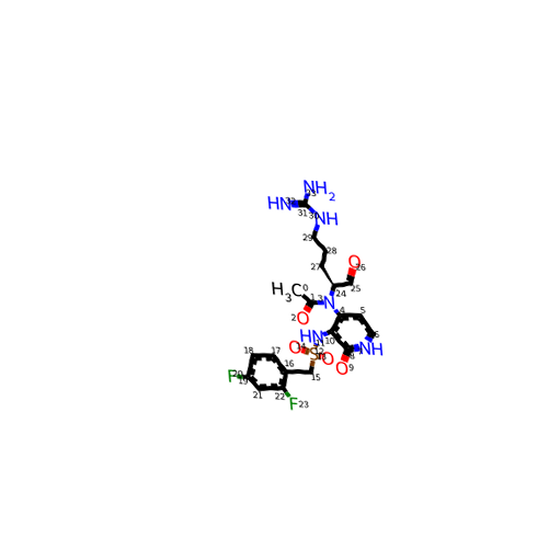 CC(=O)N(c1cc[nH]c(=O)c1NS(=O)(=O)Cc1ccc(F)cc1F)[C@H](C=O)CCCNC(=N)N